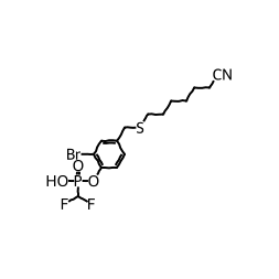 N#CCCCCCCSCc1ccc(OP(=O)(O)C(F)F)c(Br)c1